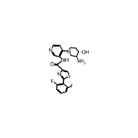 N[C@H]1CN(c2ccncc2NC(=O)c2csc(-c3c(F)cccc3F)n2)CC[C@@H]1O